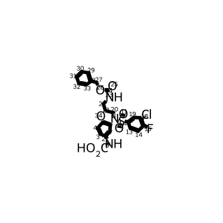 O=C(O)Nc1ccc2c(c1)N(S(=O)(=O)c1ccc(F)c(Cl)c1)CC(CNC(=O)OCc1ccccc1)O2